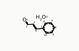 O.O=C/C=C/c1ccccc1